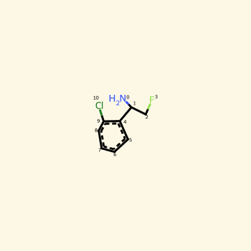 NC(CF)c1ccccc1Cl